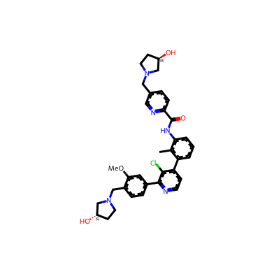 COc1cc(-c2nccc(-c3cccc(NC(=O)c4ccc(CN5CC[C@@H](O)C5)cn4)c3C)c2Cl)ccc1CN1CC[C@H](O)C1